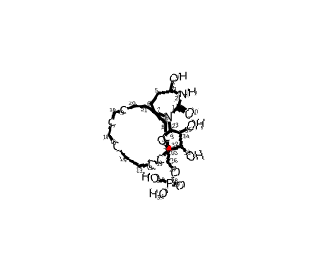 O=C1NC(O)CCC2(CCCCCCCCCCCCCC2)N1C1OC(COP(=O)(O)O)C(O)C1O